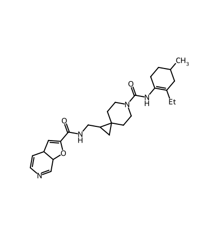 CCC1=C(NC(=O)N2CCC3(CC2)CC3CNC(=O)C2=CC3C=CN=CC3O2)CCC(C)C1